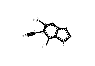 Cc1cc2ccsc2c(C)c1C#N